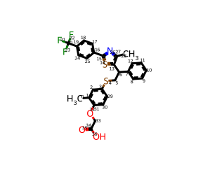 Cc1cc(SCC(c2ccccc2)c2sc(-c3ccc(C(F)(F)F)cc3)nc2C)ccc1OCC(=O)O